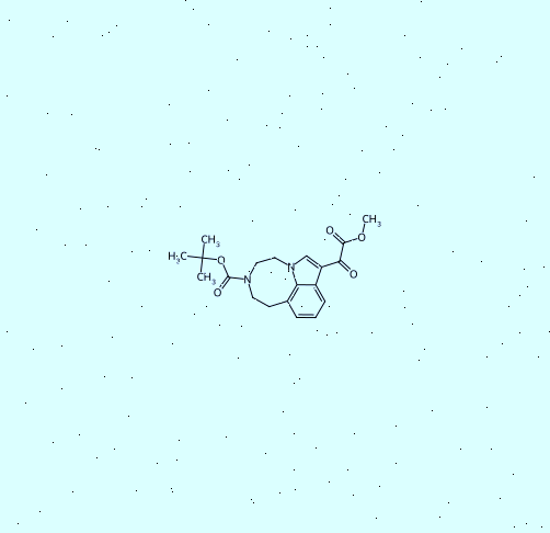 COC(=O)C(=O)c1cn2c3c(cccc13)CCN(C(=O)OC(C)(C)C)CC2